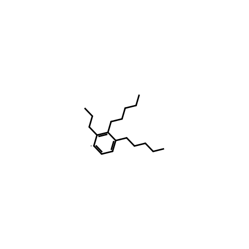 CCCCCc1cc[c]c(CCC)c1CCCCC